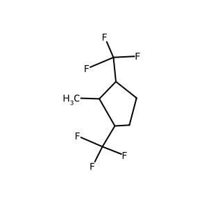 CC1C(C(F)(F)F)CCC1C(F)(F)F